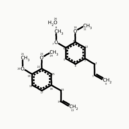 C=CCc1ccc(OC)c(OC)c1.C=CCc1ccc(OC)c(OC)c1.O